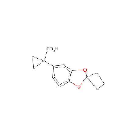 O=C(O)C1(c2ccc3c(c2)OC2(CCC2)O3)CC1